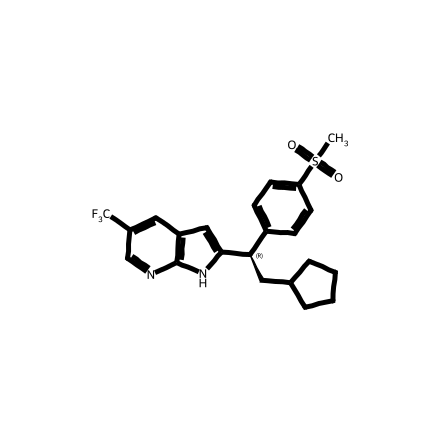 CS(=O)(=O)c1ccc([C@@H](CC2CCCC2)c2cc3cc(C(F)(F)F)cnc3[nH]2)cc1